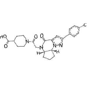 O=C(O)C1CCN(C(=O)CN2C(=O)c3cc(-c4ccc(Cl)cc4)nn3[C@@H]3CCC[C@@H]32)CC1